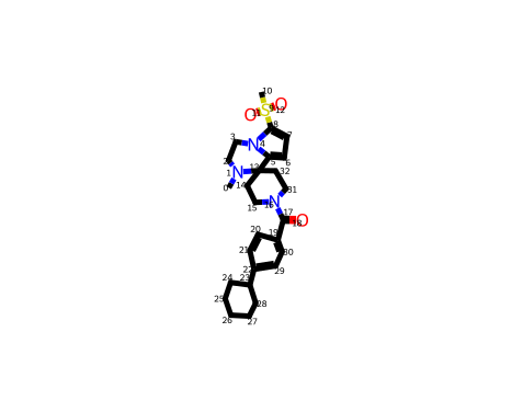 CN1CCn2c(ccc2S(C)(=O)=O)C12CCN(C(=O)c1ccc(C3CCCCC3)cc1)CC2